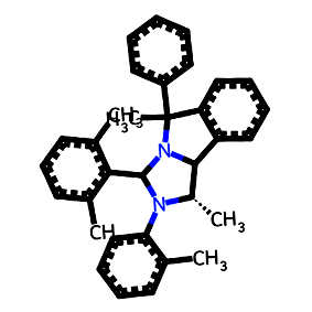 Cc1ccccc1N1C(c2c(C)cccc2C)N2C(c3ccccc3C2(C)c2ccccc2)[C@@H]1C